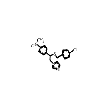 C[S+]([O-])c1ccc(C(Cn2ccnc2)SCc2ccc(Cl)cc2)cc1